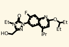 CCC(CC)Oc1cc(C(C)C)c2cc(-n3nc(CO)n(CC)c3=O)c(F)cc2n1